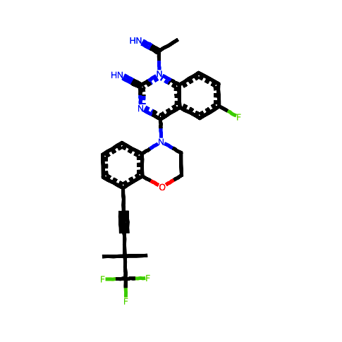 CC(=N)n1c(=N)nc(N2CCOc3c(C#CC(C)(C)C(F)(F)F)cccc32)c2cc(F)ccc21